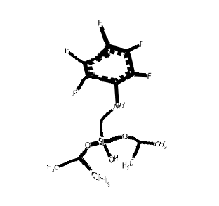 CC(C)O[Si](O)(CNc1c(F)c(F)c(F)c(F)c1F)OC(C)C